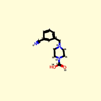 N#Cc1cccc(CN2CCN(C(=O)O)CC2)c1